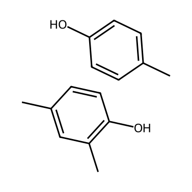 Cc1ccc(O)c(C)c1.Cc1ccc(O)cc1